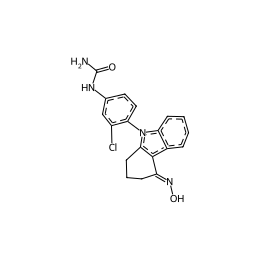 NC(=O)Nc1ccc(-n2c3c(c4ccccc42)C(=NO)CCC3)c(Cl)c1